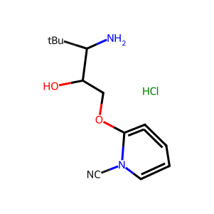 CC(C)(C)C(N)C(O)COC1=C=CC=CN1C#N.Cl